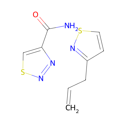 C=CCc1ccsn1.NC(=O)c1csnn1